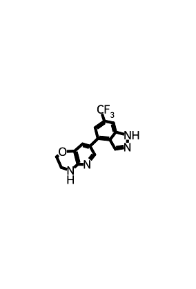 FC(F)(F)c1cc(-c2cnc3c(c2)OCCN3)c2cn[nH]c2c1